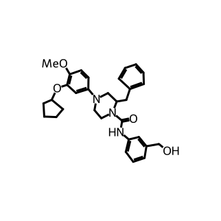 COc1ccc(N2CCN(C(=O)Nc3cccc(CO)c3)C(Cc3ccccc3)C2)cc1OC1CCCC1